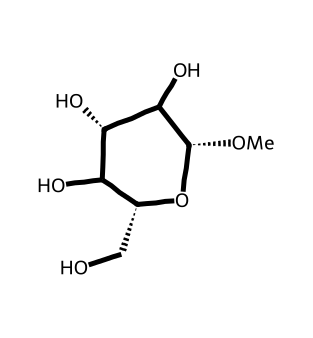 CO[C@@H]1O[C@H](CO)C(O)[C@H](O)C1O